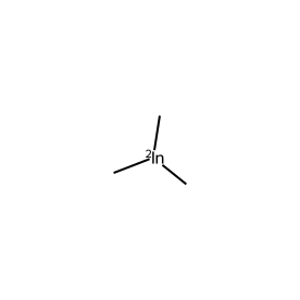 [CH3][2In]([CH3])[CH3]